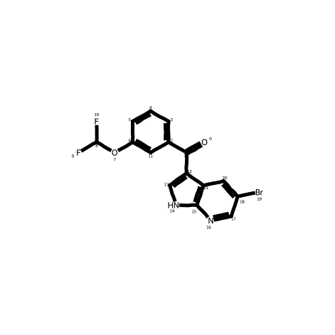 O=C(c1cccc(OC(F)F)c1)c1c[nH]c2ncc(Br)cc12